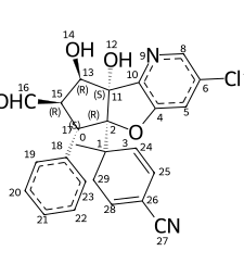 CC1([C@@]23Oc4cc(Cl)cnc4[C@]2(O)[C@H](O)[C@H](C=O)[C@H]3c2ccccc2)C=CC(C#N)=CC1